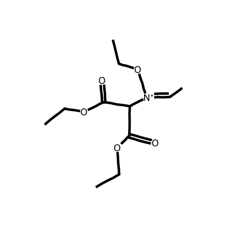 CC=[N+](OCC)C(C(=O)OCC)C(=O)OCC